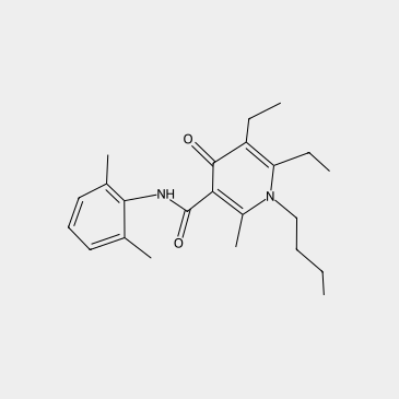 CCCCn1c(C)c(C(=O)Nc2c(C)cccc2C)c(=O)c(CC)c1CC